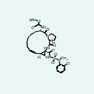 CN(c1ccccc1Cl)S(=O)(=O)NC(=O)[C@@]12C[C@H]1/C=C\CCCCC[C@H](NC(=O)OC(C)(C)C)C(=O)N1CCC[C@H]1C(=O)N2